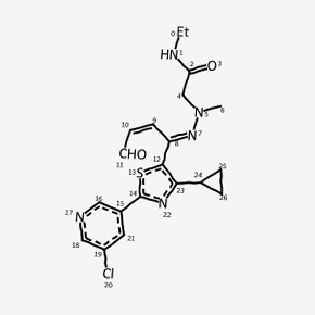 CCNC(=O)CN(C)/N=C(\C=C/C=O)c1sc(-c2cncc(Cl)c2)nc1C1CC1